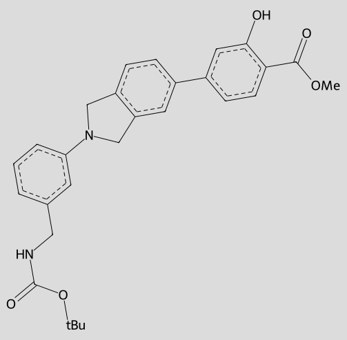 COC(=O)c1ccc(-c2ccc3c(c2)CN(c2cccc(CNC(=O)OC(C)(C)C)c2)C3)cc1O